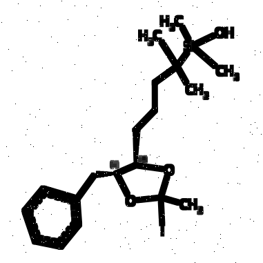 CC1(I)O[C@H](CCCC(C)(C)[Si](C)(C)O)[C@@H](Cc2ccccc2)O1